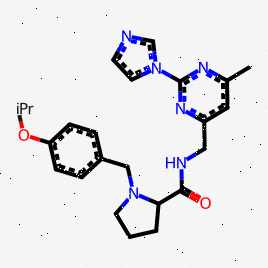 Cc1cc(CNC(=O)C2CCCN2Cc2ccc(OC(C)C)cc2)nc(-n2ccnc2)n1